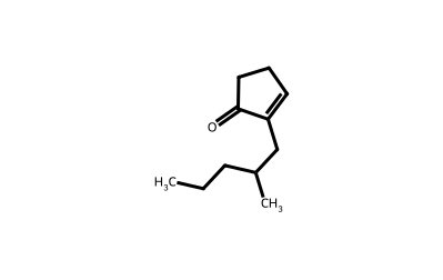 CCCC(C)CC1=CCCC1=O